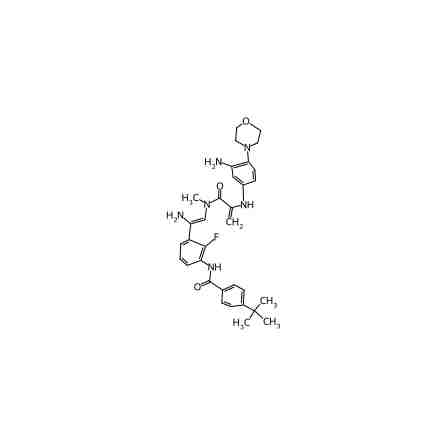 C=C(Nc1ccc(N2CCOCC2)c(N)c1)C(=O)N(C)/C=C(\N)c1cccc(NC(=O)c2ccc(C(C)(C)C)cc2)c1F